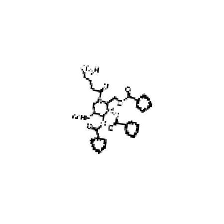 CC(=O)NC1CN(C(=O)CCCC(=O)O)C(COC(=O)c2ccccc2)[C@H](OC(=O)c2ccccc2)C1OC(=O)c1ccccc1